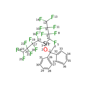 CC([O][Sn]([CH](F)C(F)(F)C(F)(F)C(F)F)[CH](F)C(F)(F)C(F)(F)C(F)F)(c1ccccc1)c1ccccc1